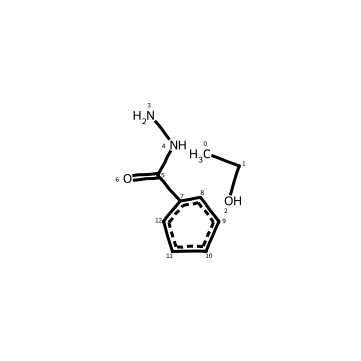 CCO.NNC(=O)c1ccccc1